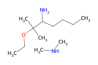 CCCCC(N)C(C)(C)OCC.CNC